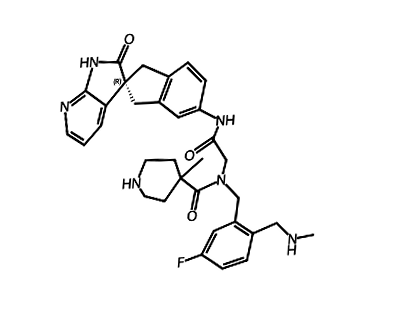 CNCc1ccc(F)cc1CN(CC(=O)Nc1ccc2c(c1)C[C@@]1(C2)C(=O)Nc2ncccc21)C(=O)C1(C)CCNCC1